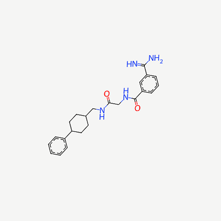 N=C(N)c1cccc(C(=O)NCC(=O)NCC2CCC(c3ccccc3)CC2)c1